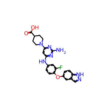 Nc1nc(Nc2ccc(Oc3ccc4[nH]ncc4c3)c(F)c2)cc(N2CCC(C(=O)O)CC2)n1